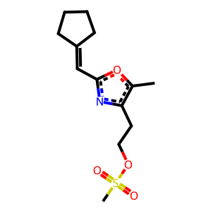 Cc1oc(C=C2CCCC2)nc1CCOS(C)(=O)=O